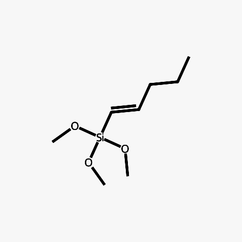 CCC/C=C/[Si](OC)(OC)OC